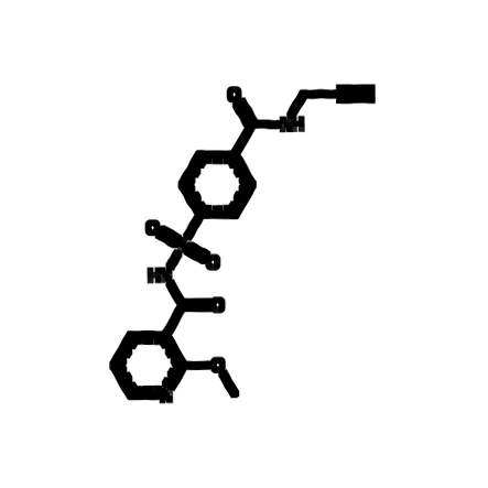 C#CCNC(=O)c1ccc(S(=O)(=O)NC(=O)c2cccnc2OC)cc1